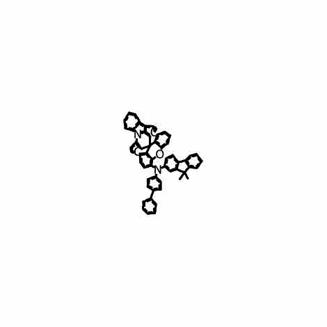 CC1(C)c2ccccc2-c2ccc(N(c3ccc(-c4ccccc4)cc3)c3cccc4c3Oc3ccccc3C43c4ccccc4-n4c5ccccc5c5cccc3c54)cc21